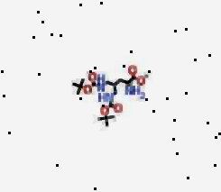 COC(=O)[C@@H](N)CC(CNC(=O)OC(C)(C)C)CNC(=O)OC(C)(C)C